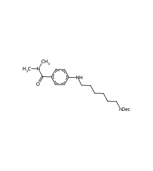 CCCCCCCCCCCCCCCCNc1ccc(C(=O)N(C)C)cc1